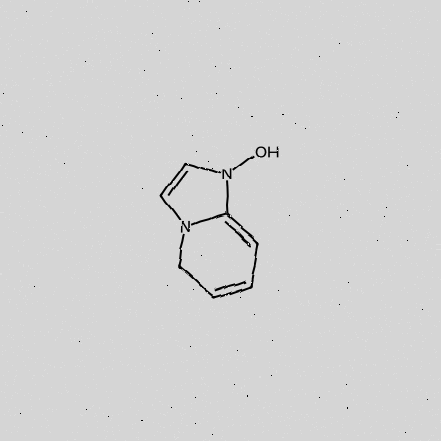 ON1C=CN2CC=CC=C12